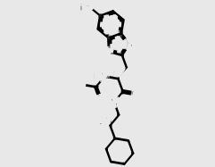 CCC(=O)N[C@@H](Cc1nc2ccc(C(C)C)cc2s1)C(=O)NC[C@@H](O)C1CCCCC1